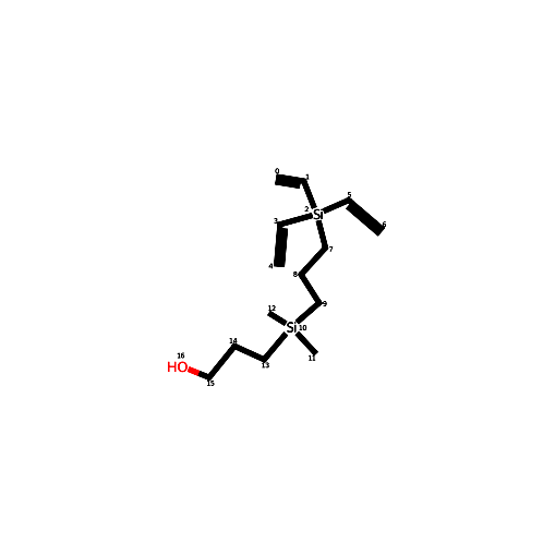 C=C[Si](C=C)(C=C)CCC[Si](C)(C)CCCO